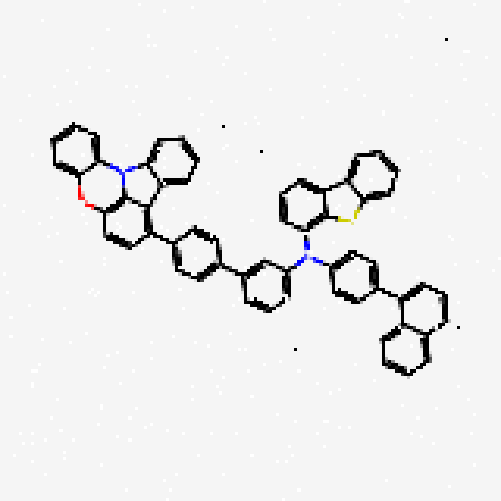 c1cc(-c2ccc(-c3ccc4c5c3c3ccccc3n5-c3ccccc3O4)cc2)cc(N(c2ccc(-c3cccc4ccccc34)cc2)c2cccc3c2sc2ccccc23)c1